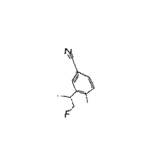 [CH2]C(CF)c1cc(C#N)ccc1C